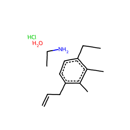 C=CCc1ccc(CC)c(C)c1C.CCN.Cl.O